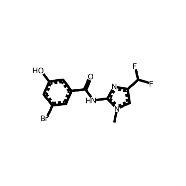 Cn1cc(C(F)F)nc1NC(=O)c1cc(O)cc(Br)c1